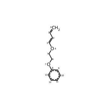 C=CC=COCCOc1ccccc1